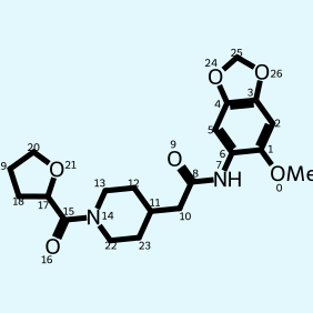 COc1cc2c(cc1NC(=O)CC1CCN(C(=O)C3CCCO3)CC1)OCO2